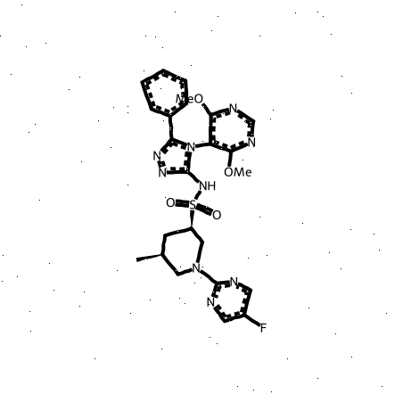 COc1ncnc(OC)c1-n1c(NS(=O)(=O)[C@@H]2C[C@H](C)CN(c3ncc(F)cn3)C2)nnc1-c1ccccc1